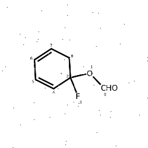 O=COC1(F)C=CC=CC1